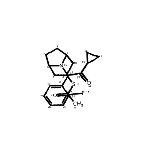 CC(=O)SC1CC2CCC(C1)N2C(C(=O)C1CC1)c1ccccc1F